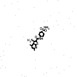 Cc1cc(C)c2c(N)c(C(=O)Nc3ccc(S(N)(=O)=O)cc3)sc2n1